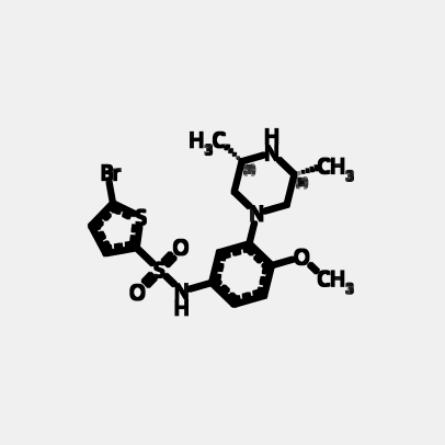 COc1ccc(NS(=O)(=O)c2ccc(Br)s2)cc1N1C[C@@H](C)N[C@@H](C)C1